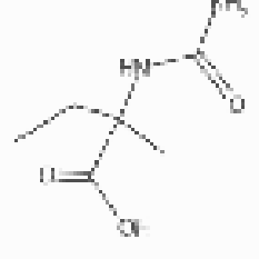 CCC(C)(NC(N)=O)C(=O)O